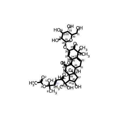 CC(=O)OC(C)(C)/C=C/C(=O)[C@](C)(O)C1[C@H](O)C[C@@]2(C)[C@@H]3CC=C4[C@@H](C=C(O[C@@H]5OC(CO)[C@@H](O)C(O)[C@@H]5O)C(=O)C4(C)C)[C@]3(C)C(=O)C[C@]12C